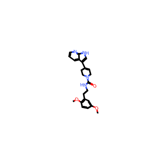 COc1ccc(OC)c(CCNC(=O)N2CC=C(c3c[nH]c4ncccc34)CC2)c1